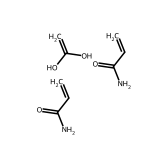 C=C(O)O.C=CC(N)=O.C=CC(N)=O